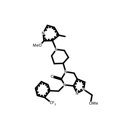 COCn1cc2c(n1)N(Cc1ccccc1C(F)(F)F)C(=O)N(C1CCN(c3c(C)ccnc3OC)CC1)C2